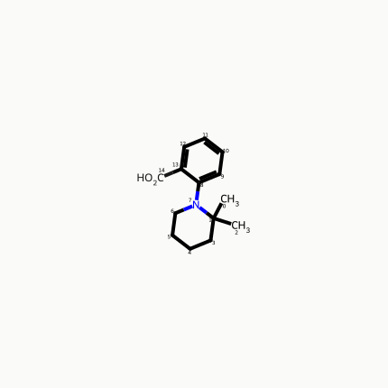 CC1(C)CCCCN1c1ccccc1C(=O)O